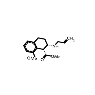 C=CCN[C@H]1CCc2cccc(OC)c2[C@H]1C(=O)OC